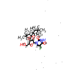 CC(C)(C)CC(C)(C)[C@@]1(CC(C)(C)C)OC2C(CO)OC(n3cc(F)c(=O)[nH]c3=O)C2O1